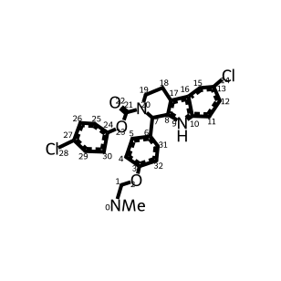 CNCOc1ccc(C2c3[nH]c4ccc(Cl)cc4c3CCN2C(=O)Oc2ccc(Cl)cc2)cc1